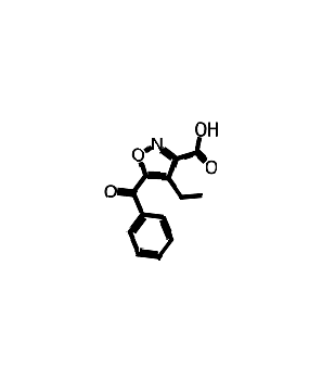 CCc1c(C(=O)O)noc1C(=O)c1ccccc1